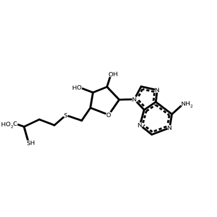 Nc1ncnc2c1ncn2C1OC(CSCCC(S)C(=O)O)C(O)C1O